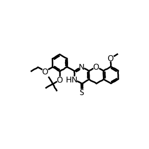 CCOc1cccc(-c2nc3c(c(=S)[nH]2)Cc2cccc(OC)c2O3)c1OC(C)(C)C